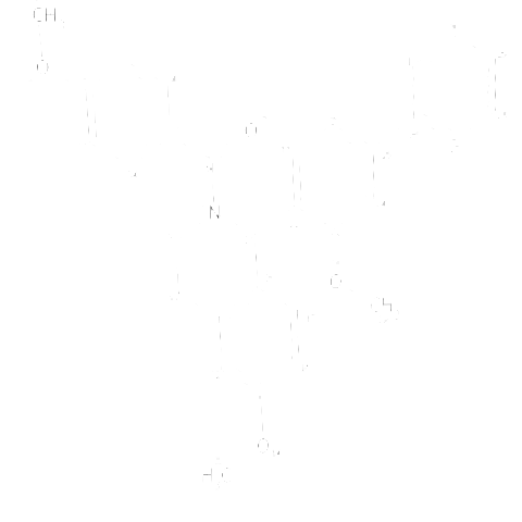 COc1ccc(C(=O)N2CCc3cc(OC)cc(OC)c3C2c2ccc(-c3ccccc3)cc2)cc1